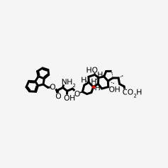 C[C@H](CCC(=O)O)[C@H]1CC[C@H]2[C@@H]3[C@H](O)C[C@@H]4C[C@H](OCC(O)C(N)C(=O)OCC5c6ccccc6-c6ccccc65)CC[C@]4(C)[C@H]3C[C@H](O)[C@]12C